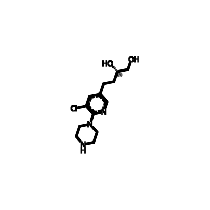 OC[C@@H](O)CCc1cnc(N2CCNCC2)c(Cl)c1